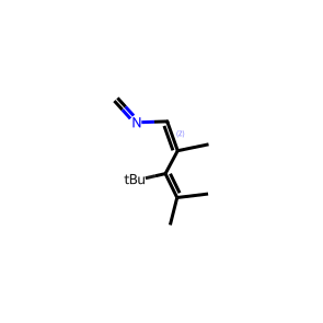 C=N/C=C(/C)C(=C(C)C)C(C)(C)C